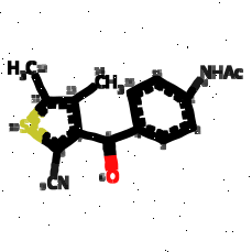 CC(=O)Nc1ccc(C(=O)c2c(C#N)sc(C)c2C)cc1